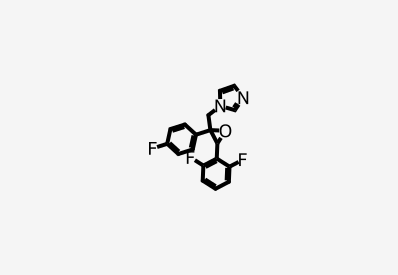 Fc1ccc(C2(Cn3ccnc3)OC2c2c(F)cccc2F)cc1